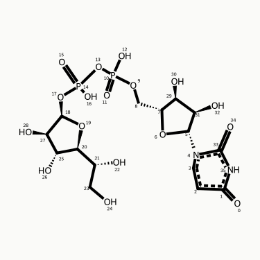 O=c1ccn([C@@H]2O[C@H](COP(=O)(O)OP(=O)(O)O[C@H]3O[C@@H]([C@H](O)CO)[C@H](O)[C@H]3O)[C@@H](O)[C@H]2O)c(=O)[nH]1